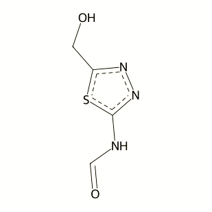 O=CNc1nnc(CO)s1